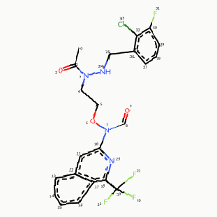 CC(=O)N(CCON(C=O)c1cc2ccccc2c(C(F)(F)F)n1)NCc1cccc(F)c1Cl